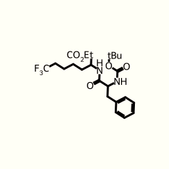 CCOC(=O)C(CCCCC(F)(F)F)NC(=O)C(Cc1ccccc1)NC(=O)OC(C)(C)C